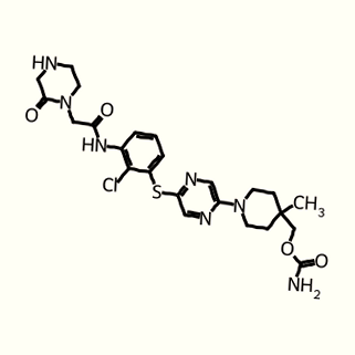 CC1(COC(N)=O)CCN(c2cnc(Sc3cccc(NC(=O)CN4CCNCC4=O)c3Cl)cn2)CC1